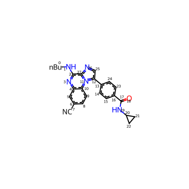 CCCCNc1nc2cc(C#N)ccc2n2c(-c3ccc(C(=O)NC4CC4)cc3)cnc12